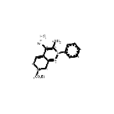 CCOC(=O)N1CC=C2C(=NN(c3ccccc3)C(N)=C2C#N)C1.Cl